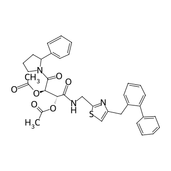 CC(=O)O[C@@H](C(=O)NCc1nc(Cc2ccccc2-c2ccccc2)cs1)[C@@H](OC(C)=O)C(=O)N1CCCC1c1ccccc1